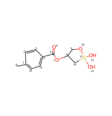 Cc1ccc(C(=O)OC2COS(O)(O)C2)cc1